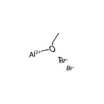 C[O][Al+2].[Br-].[Br-]